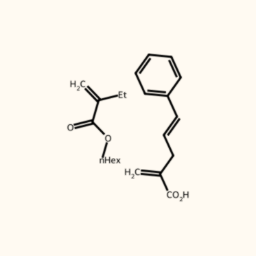 C=C(CC)C(=O)OCCCCCC.C=C(CC=Cc1ccccc1)C(=O)O